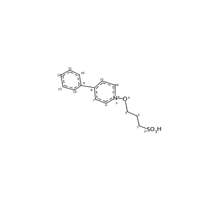 O=S(=O)(O)CCCO[n+]1ccc(-c2ccccc2)cc1